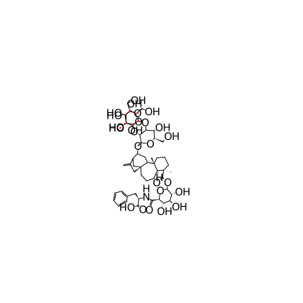 C=C1C[C@]23CCC[C@@H]4[C@](C)(C(=O)OC5O[C@H](C(=O)N[C@H](Cc6ccccc6)C(=O)O)[C@@H](O)[C@H](O)[C@H]5O)CCC[C@@]4(C)C2CC(O[C@@H]2O[C@H](CO)[C@@H](O)C(O[C@@H]4O[C@H](CO)[C@@H](O)[C@H](O)[C@H]4O)[C@H]2O[C@@H]2O[C@H](CO)[C@@H](O)[C@H](O)[C@H]2O)C1C3